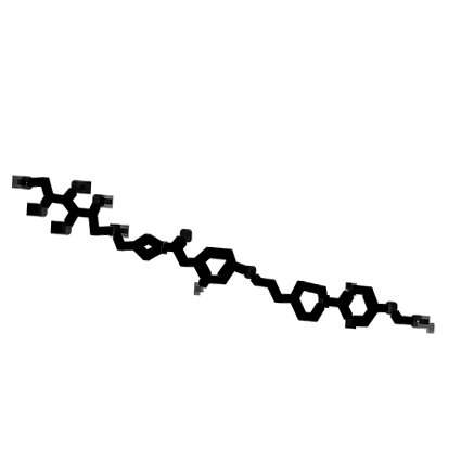 CCOc1cnc(N2CCC(CCCOc3ccc(CC(=O)N4CC(CNCC(O)C(O)C(O)C(O)CO)C4)c(F)c3)CC2)nc1